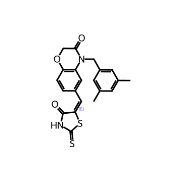 Cc1cc(C)cc(CN2C(=O)COc3ccc(/C=C4/SC(=S)NC4=O)cc32)c1